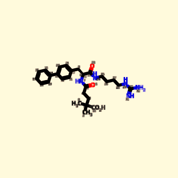 CC(C)(CCC(=O)N[C@@H](Cc1ccc(-c2ccccc2)cc1)C(=O)NCCCCNC(=N)N)C(=O)O